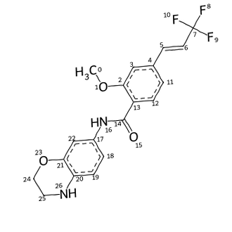 COc1cc(/C=C/C(F)(F)F)ccc1C(=O)Nc1ccc2c(c1)OCCN2